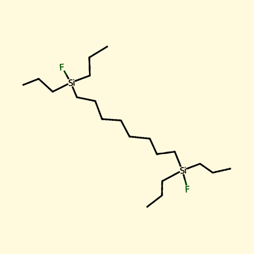 CCC[Si](F)(CCC)CCCCCCCC[Si](F)(CCC)CCC